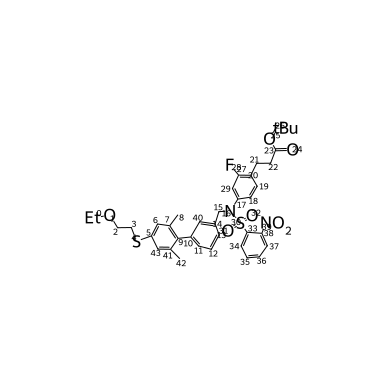 CCOCCSc1cc(C)c(-c2cccc(CN(c3ccc(CCC(=O)OC(C)(C)C)c(F)c3)S(=O)(=O)c3ccccc3[N+](=O)[O-])c2)c(C)c1